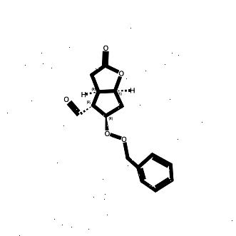 O=C[C@@H]1[C@H]2CC(=O)O[C@H]2C[C@H]1OOCc1ccccc1